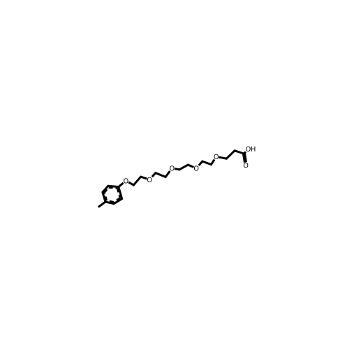 Cc1ccc(OCCOCCOCCOCCOCCC(=O)O)cc1